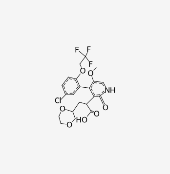 COc1c[nH]c(=O)c(C(CC2COCCO2)C(=O)O)c1-c1cc(Cl)ccc1OCC(F)(F)F